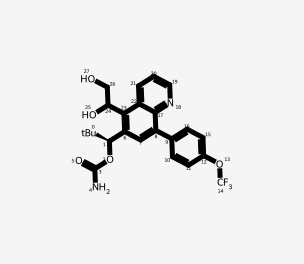 CC(C)(C)[C@H](OC(N)=O)c1cc(-c2ccc(OC(F)(F)F)cc2)c2ncccc2c1C(O)CO